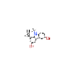 C[SiH](C)c1cc(Br)cc2c3cc(Br)ccc3n(C(C)(C)C)c12